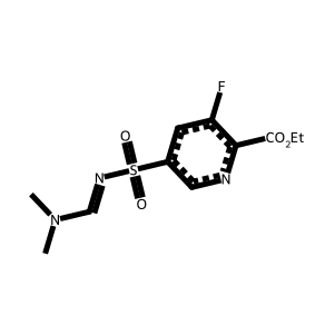 CCOC(=O)c1ncc(S(=O)(=O)N=CN(C)C)cc1F